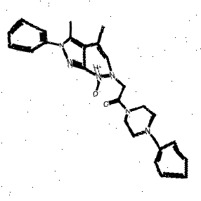 CC1=CN(CC(=O)N2CCN(c3ccccc3)CC2)[NH+]([O-])c2nn(-c3ccccc3)c(C)c21